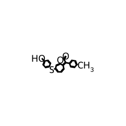 Cc1ccc(-c2c3cccc(Sc4ccc(O)cc4)cc-3oc2=O)cc1